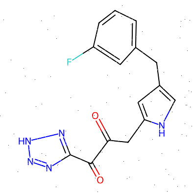 O=C(Cc1cc(Cc2cccc(F)c2)c[nH]1)C(=O)c1nn[nH]n1